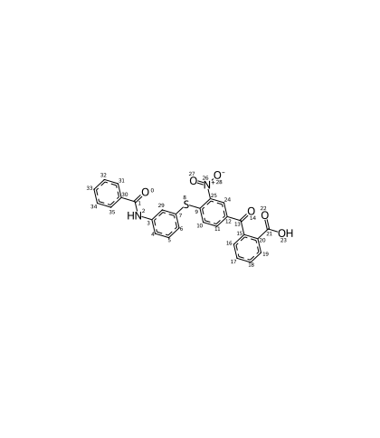 O=C(Nc1cccc(Sc2ccc(C(=O)c3ccccc3C(=O)O)cc2[N+](=O)[O-])c1)c1ccccc1